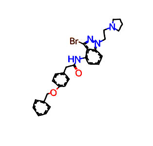 O=C(Cc1ccc(OCc2ccccc2)cc1)Nc1cccc2c1c(Br)nn2CCN1CCCC1